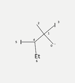 [CH2]C(C)(I)C(I)CC